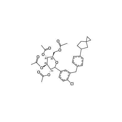 CC(=O)OC[C@H]1OC(c2ccc(Cl)c(Cc3ccc(C4CCC5(CC5)C4)cc3)c2)[C@H](OC(C)=O)[C@@H](OC(C)=O)[C@@H]1OC(C)=O